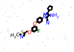 Cc1ncc(COc2cc(F)cc(Oc3ccc(-n4nc(C5CCCC5)c(N)c4C#N)cc3)c2)s1